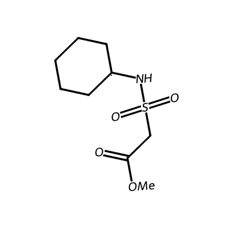 COC(=O)CS(=O)(=O)N[C]1CCCCC1